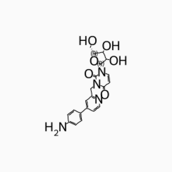 Nc1ccc(-c2ccnc(Cn3c(=O)ccn([C@@H]4O[C@H](CO)C(O)C4O)c3=O)c2)cc1